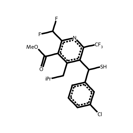 COC(=O)c1c(C(F)F)nc(C(F)(F)F)c(C(S)c2cccc(Cl)c2)c1CC(C)C